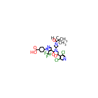 CC(C)(C)C(=O)N1CC(N(CC(=O)c2c(Cl)cncc2Cl)C(=O)c2cnn(C3CCC(C(=O)O)CC3)c2C(F)(F)F)C1